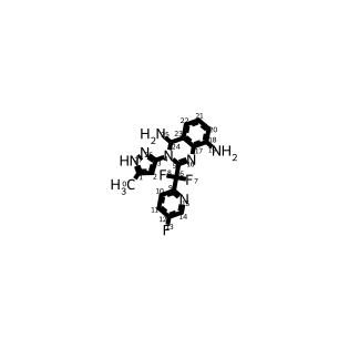 Cc1cc(N2C(C(F)(F)c3ccc(F)cn3)=Nc3c(N)cccc3C2N)n[nH]1